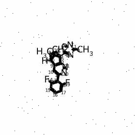 Cc1noc([C@@]23CC[C@@H](c4cc(-c5c(F)cccc5F)nnc42)C3(C)C)n1